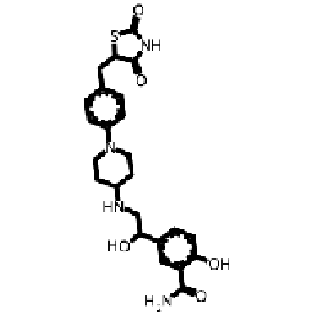 NC(=O)c1cc(C(O)CNC2CCN(c3ccc(CC4SC(=O)NC4=O)cc3)CC2)ccc1O